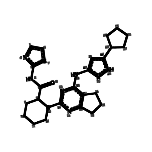 O=C(Nc1nccs1)C1CCCCN1c1nc2c(c(Nc3cc(C4CCCC4)[nH]n3)n1)CCC2